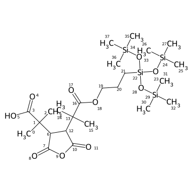 CC(C)(C(=O)O)C1C(=O)OC(=O)C1C(C)(C)C(=O)OCCC[Si](O[Si](C)(C)C)(O[Si](C)(C)C)O[Si](C)(C)C